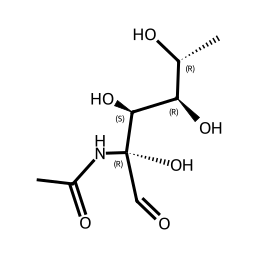 CC(=O)N[C@](O)(C=O)[C@@H](O)[C@H](O)[C@@H](C)O